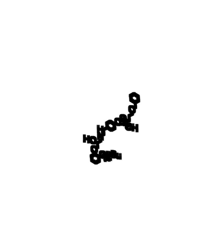 CCCC[Si](C)(C)Oc1ccccc1OC[C@@H](O)CNCCc1ccc(OCP(=O)(O)CCCOCc2ccccc2)cc1